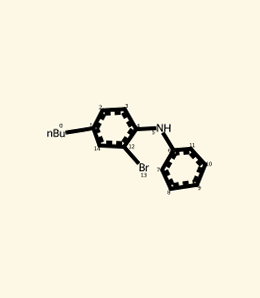 CCCCc1ccc(Nc2ccccc2)c(Br)c1